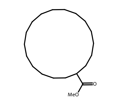 COC(=O)C1CCCCCCCCCCCCCCCCC1